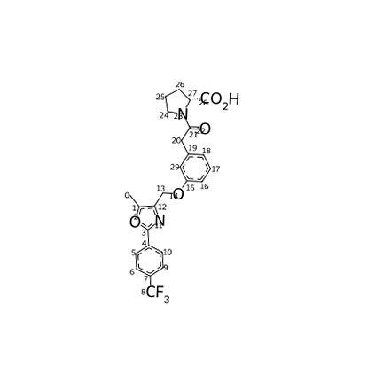 Cc1oc(-c2ccc(C(F)(F)F)cc2)nc1COc1cccc(CC(=O)N2CCC[C@@H]2C(=O)O)c1